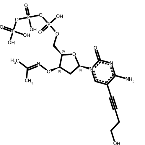 CC(C)=NO[C@@H]1C[C@H](n2cc(C#CCCO)c(N)nc2=O)O[C@@H]1COP(=O)(O)OP(=O)(O)OP(=O)(O)O